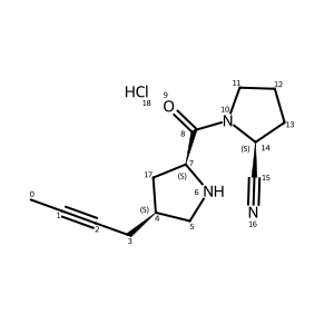 CC#CC[C@@H]1CN[C@H](C(=O)N2CCC[C@H]2C#N)C1.Cl